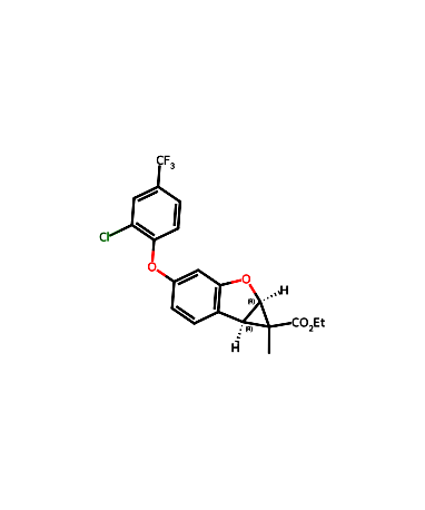 CCOC(=O)C1(C)[C@@H]2Oc3cc(Oc4ccc(C(F)(F)F)cc4Cl)ccc3[C@@H]21